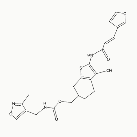 Cc1nocc1CNC(=O)OCC1CCc2c(sc(NC(=O)C=Cc3ccoc3)c2C#N)C1